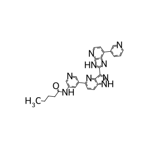 CCCCC(=O)Nc1cncc(-c2ccc3[nH]nc(-c4nc5c(-c6cccnc6)ccnc5[nH]4)c3n2)c1